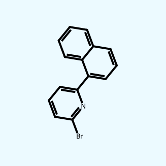 Brc1cccc(-c2cccc3ccccc23)n1